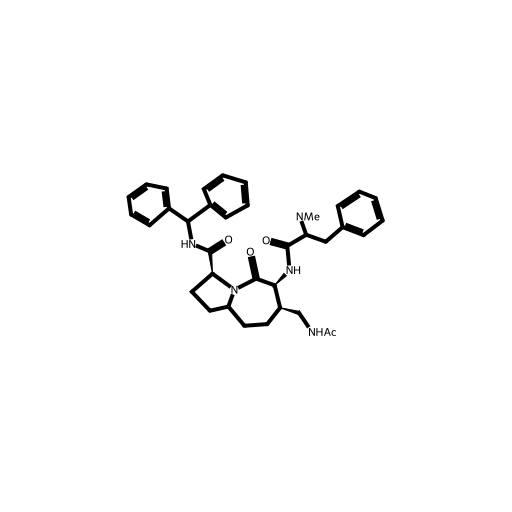 CNC(Cc1ccccc1)C(=O)N[C@@H]1C(=O)N2C(CC[C@@H]1CNC(C)=O)CC[C@H]2C(=O)NC(c1ccccc1)c1ccccc1